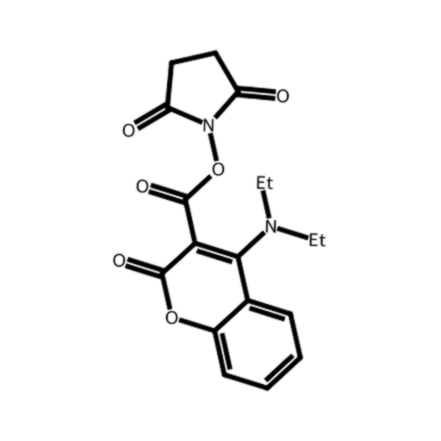 CCN(CC)c1c(C(=O)ON2C(=O)CCC2=O)c(=O)oc2ccccc12